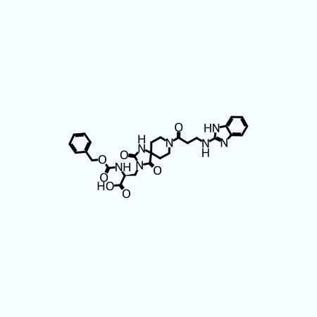 O=C(N[C@@H](CN1C(=O)NC2(CCN(C(=O)CCNc3nc4ccccc4[nH]3)CC2)C1=O)C(=O)O)OCc1ccccc1